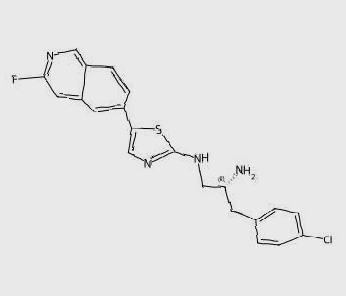 N[C@@H](CNc1ncc(-c2ccc3cnc(F)cc3c2)s1)Cc1ccc(Cl)cc1